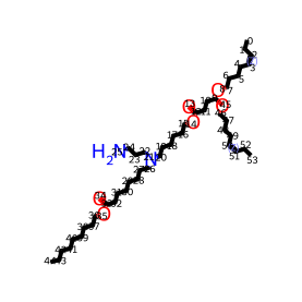 CC/C=C\CCCCOC(CCC(=O)OCCCCCCN(CCCN)CCCCCCCC(=O)OCCCCCCCCC)OCCCC/C=C\CC